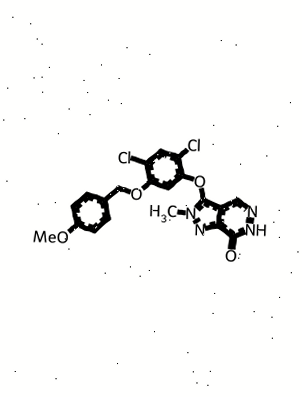 COc1ccc(COc2cc(Oc3c4cn[nH]c(=O)c4nn3C)c(Cl)cc2Cl)cc1